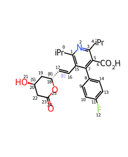 CC(C)c1nc(C(C)C)c(C(=O)O)c(-c2ccc(F)cc2)c1/C=C/[C@H]1C[C@H](O)CC(=O)O1